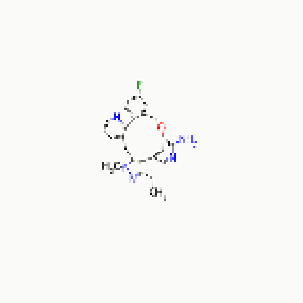 CCc1nn(C)c2c1-c1cnc(N)c(c1)OCc1cc(F)ccc1-c1ncccc1C2